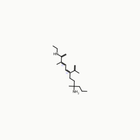 C=C(C)/C(=C\C=C(/C)C(=C)NCC)CCC(C)(N)CCC